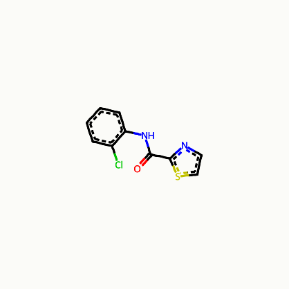 O=C(Nc1ccccc1Cl)c1nccs1